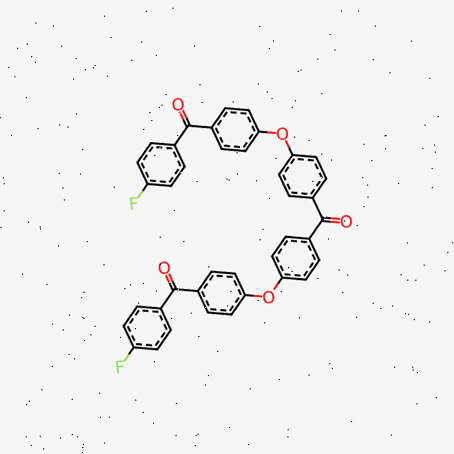 O=C(c1ccc(F)cc1)c1ccc(Oc2ccc(C(=O)c3ccc(Oc4ccc(C(=O)c5ccc(F)cc5)cc4)cc3)cc2)cc1